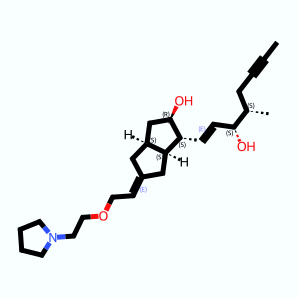 CC#CC[C@H](C)[C@H](O)/C=C/[C@@H]1[C@H]2C/C(=C/COCCN3CCCC3)C[C@H]2C[C@H]1O